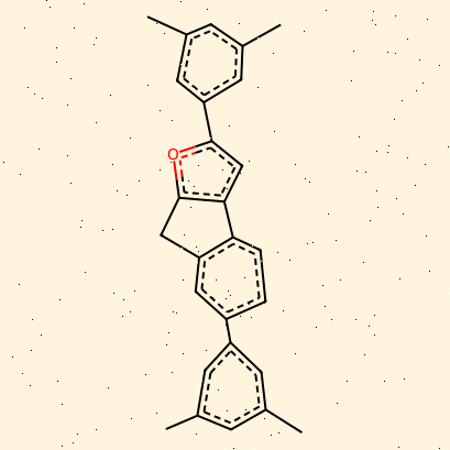 Cc1cc(C)cc(-c2ccc3c(c2)Cc2oc(-c4cc(C)cc(C)c4)cc2-3)c1